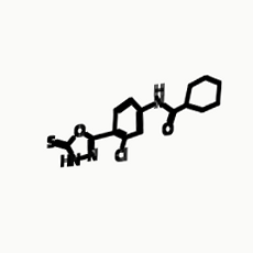 O=C(Nc1ccc(-c2n[nH]c(=S)o2)c(Cl)c1)C1CCCCC1